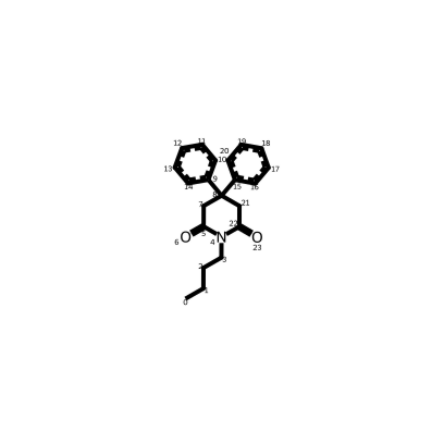 CCCCN1C(=O)CC(c2ccccc2)(c2ccccc2)CC1=O